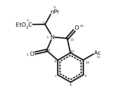 CCCC(C(=O)OCC)N1C(=O)c2cccc(C(C)=O)c2C1=O